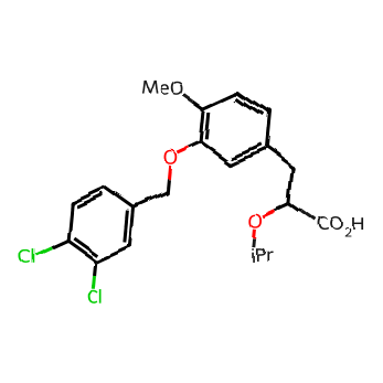 COc1ccc(CC(OC(C)C)C(=O)O)cc1OCc1ccc(Cl)c(Cl)c1